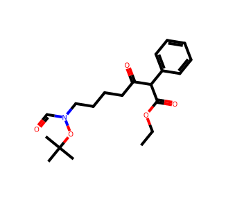 CCOC(=O)C(C(=O)CCCCN(C=O)OC(C)(C)C)c1ccccc1